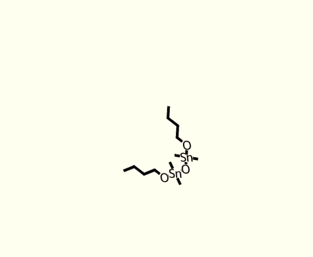 CCCC[O][Sn]([CH3])([CH3])[O][Sn]([CH3])([CH3])[O]CCCC